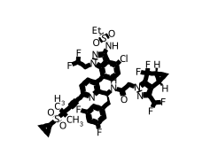 CCS(=O)(=O)Nc1nn(CC(F)F)c2c(-c3ccc(C#CC(C)(C)S(=O)(=O)C4CC4)nc3[C@H](Cc3cc(F)cc(F)c3)NC(=O)Cn3nc(C(F)F)c4c3C(F)(F)[C@@H]3C[C@H]43)ccc(Cl)c12